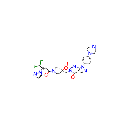 CN1CCN(c2ccc(-n3ncc4c(=O)n(CC5(O)CCN(C(=O)C[C@H](C(F)F)n6cccn6)CC5)cnc43)cc2)CC1